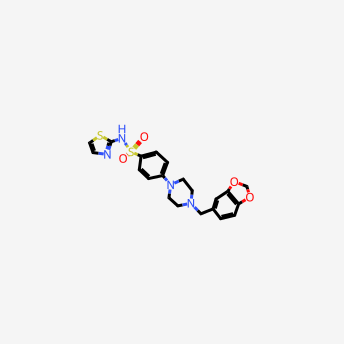 O=S(=O)(Nc1nccs1)c1ccc(N2CCN(Cc3ccc4c(c3)OCO4)CC2)cc1